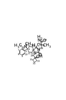 CCN(C)C1(c2ccccc2)CCC2(CC1)CN(CC(C)(C)C(N)=O)C(=O)N2CC1(O)CCC1